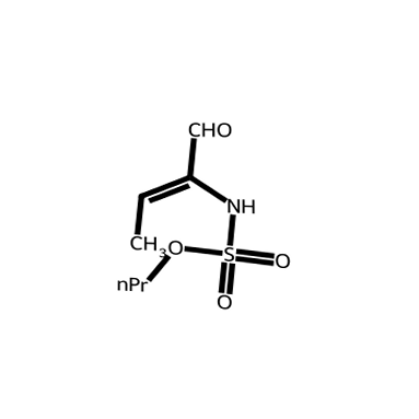 CC=C(C=O)NS(=O)(=O)OCCC